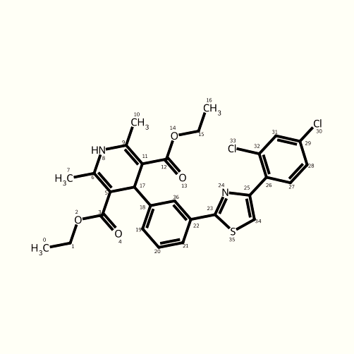 CCOC(=O)C1=C(C)NC(C)=C(C(=O)OCC)C1c1cccc(-c2nc(-c3ccc(Cl)cc3Cl)cs2)c1